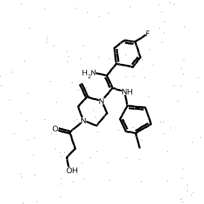 C=C1CN(C(=O)CCO)CCN1/C(Nc1ccc(C)cc1)=C(\N)c1ccc(F)cc1